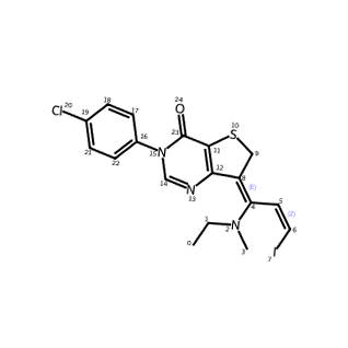 CCN(C)C(/C=C\I)=C1/CSc2c1ncn(-c1ccc(Cl)cc1)c2=O